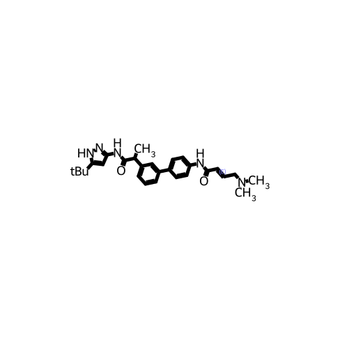 CC(C(=O)Nc1cc(C(C)(C)C)[nH]n1)c1cccc(-c2ccc(NC(=O)/C=C/CN(C)C)cc2)c1